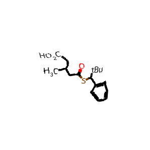 CC(CC(=O)O)CC(=O)SC(c1ccccc1)C(C)(C)C